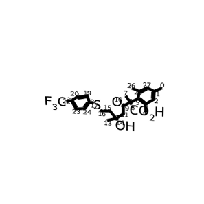 Cc1cc(C)c(C(C)(C(=O)O)C(=O)CC(C)(O)CCSc2ccc(C(F)(F)F)cc2)c(C)c1